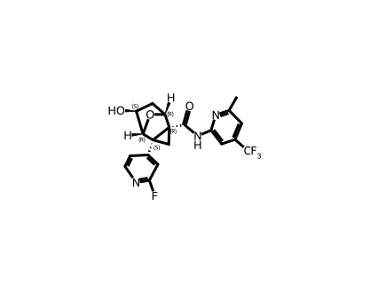 Cc1cc(C(F)(F)F)cc(NC(=O)[C@]23C[C@@]2(c2ccnc(F)c2)[C@H]2O[C@@H]3C[C@@H]2O)n1